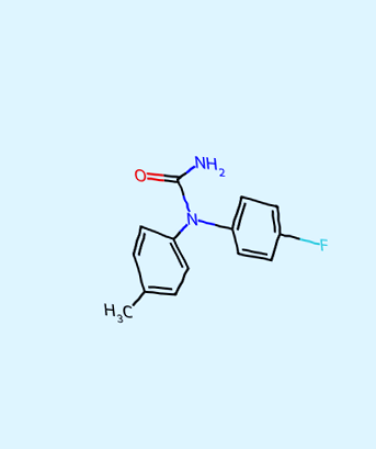 Cc1ccc(N(C(N)=O)c2ccc(F)cc2)cc1